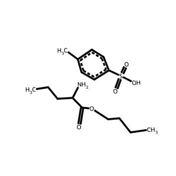 CCCCOC(=O)C(N)CCC.Cc1ccc(S(=O)(=O)O)cc1